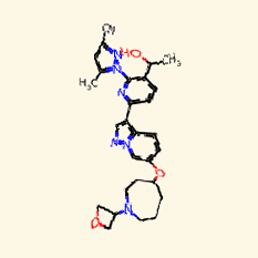 Cc1cc(C#N)nn1-c1nc(-c2cnn3cc(OC4CCCN(C5COC5)CC4)ccc23)ccc1C(C)O